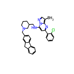 Bc1cnn2c(NCC3CCCN(Cc4ccc5c(c4)Cc4ccccc4-5)C3)cc(-c3ccccc3Cl)nc12